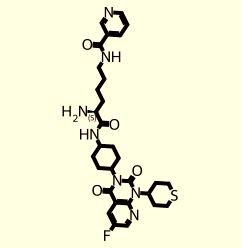 N[C@@H](CCCCNC(=O)c1cccnc1)C(=O)NC1CCC(n2c(=O)c3cc(F)cnc3n(C3CCSCC3)c2=O)CC1